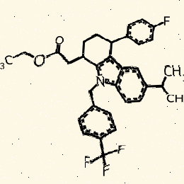 CCOC(=O)CC1CCC(c2ccc(F)cc2)c2c1n(Cc1ccc(C(F)(F)F)cc1)c1ccc(C(C)C)cc21